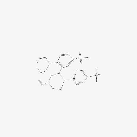 CS(=O)(=O)c1ccc(N2CCOCC2)c(C2CN(C=O)CCN2c2cnc(C(F)(F)F)cn2)c1